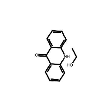 CCO.O=c1c2ccccc2[nH]c2ccccc12